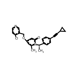 Cc1cc(OCc2cnccc2Cl)cc(=O)n1[C@H](C)c1ccc(C#CC2CC2)cc1